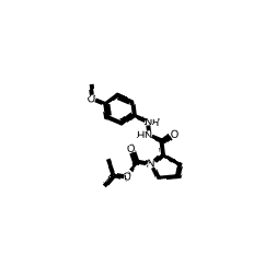 COc1ccc(NNC(=O)C2CCCN2C(=O)OC(C)C)cc1